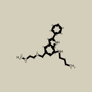 CCCCNc1cc(COCCOC)cc2cc(-c3ccccc3)[nH]c12